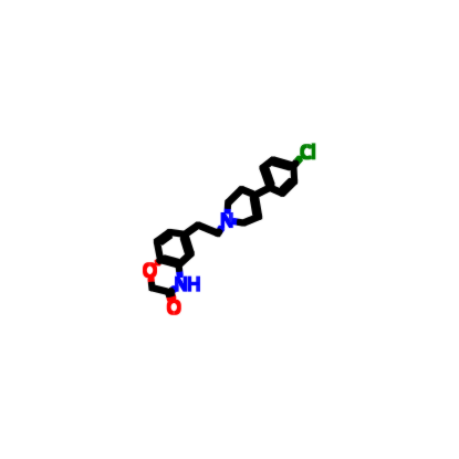 O=C1COc2ccc(CCN3CC=C(c4ccc(Cl)cc4)CC3)cc2N1